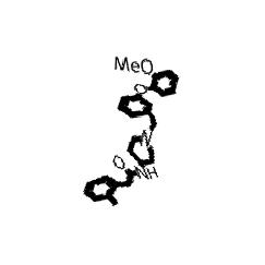 COc1ccccc1Oc1cccc(CN2CCC(NC(=O)Cc3ccccc3C)CC2)c1